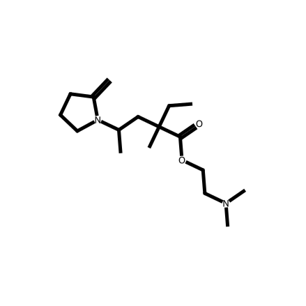 C=C1CCCN1C(C)CC(C)(CC)C(=O)OCCN(C)C